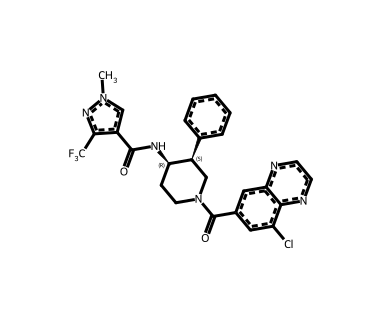 Cn1cc(C(=O)N[C@@H]2CCN(C(=O)c3cc(Cl)c4nccnc4c3)C[C@@H]2c2ccccc2)c(C(F)(F)F)n1